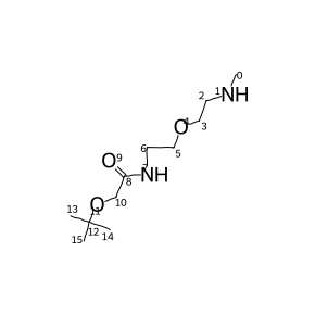 CNCCOCCNC(=O)COC(C)(C)C